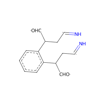 N=[C]CC([C]=O)c1ccccc1C([C]=O)C[C]=N